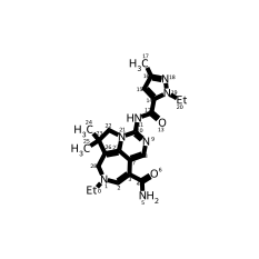 CCN1C=C(C(N)=O)C2=CN=C(NC(=O)c3cc(C)nn3CC)N3CC(C)(C)C(=C23)C1